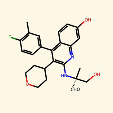 Cc1cc(-c2c(C3CCOCC3)c(N[C@](C)(C=O)CO)nc3cc(O)ccc23)ccc1F